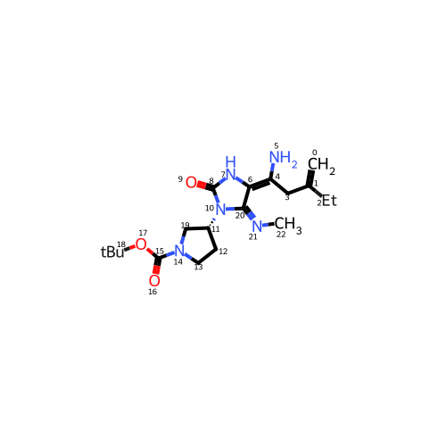 C=C(CC)C/C(N)=C1/NC(=O)N([C@@H]2CCN(C(=O)OC(C)(C)C)C2)/C1=N/C